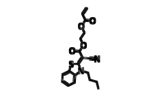 C=CC(=O)OCCOC(=O)/C(C#N)=C1\Sc2ccccc2N1CCCC